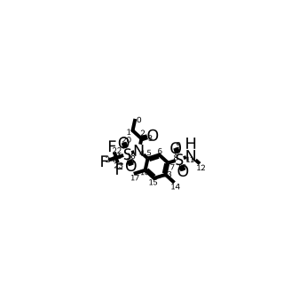 CCC(=O)N(c1cc(S(=O)(=O)NC)c(C)cc1C)S(=O)(=O)C(F)(F)F